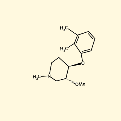 CO[C@@H]1CN(C)CC[C@H]1Oc1cccc(C)c1C